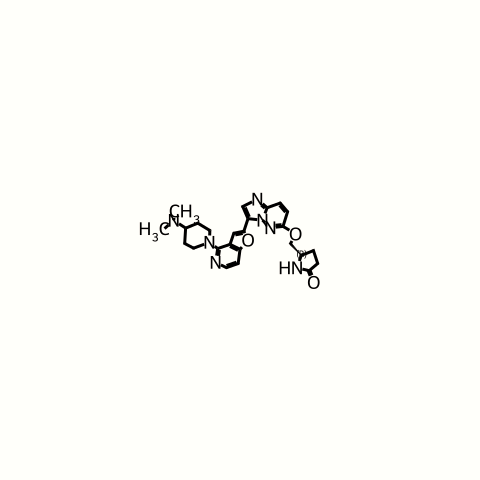 CN(C)C1CCN(c2nccc3oc(-c4cnc5ccc(OC[C@H]6CCC(=O)N6)nn45)cc23)CC1